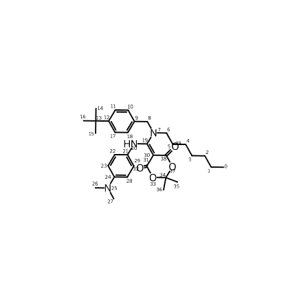 CCCCCCCN(Cc1ccc(C(C)(C)C)cc1)C(Nc1ccc(N(C)C)cc1)=C1C(=O)OC(C)(C)OC1=O